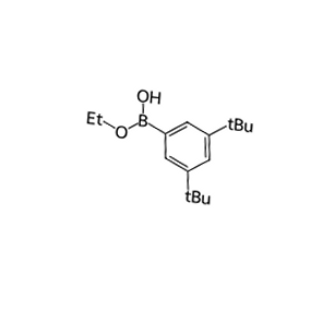 CCOB(O)c1cc(C(C)(C)C)cc(C(C)(C)C)c1